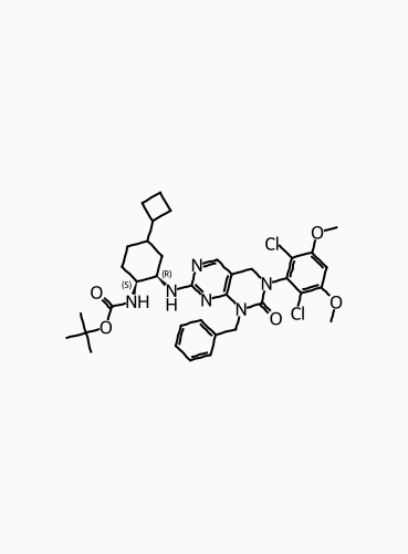 COc1cc(OC)c(Cl)c(N2Cc3cnc(N[C@@H]4CC(C5CCC5)CC[C@@H]4NC(=O)OC(C)(C)C)nc3N(Cc3ccccc3)C2=O)c1Cl